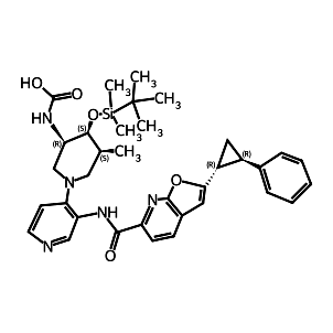 C[C@H]1CN(c2ccncc2NC(=O)c2ccc3cc([C@@H]4C[C@H]4c4ccccc4)oc3n2)C[C@@H](NC(=O)O)[C@H]1O[Si](C)(C)C(C)(C)C